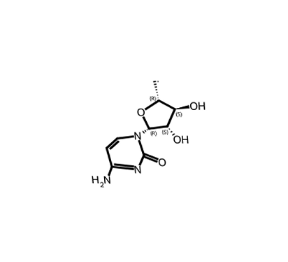 [CH2][C@H]1O[C@@H](n2ccc(N)nc2=O)[C@@H](O)[C@@H]1O